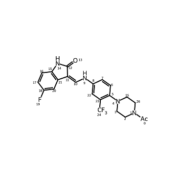 CC(=O)N1CCN(c2ccc(NC=C3C(=O)Nc4ccc(F)cc43)cc2C(F)(F)F)CC1